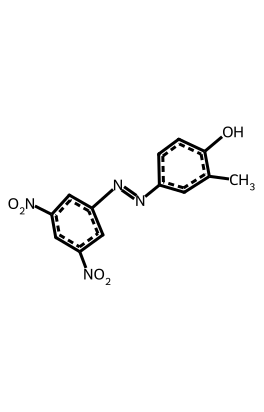 Cc1cc(N=Nc2cc([N+](=O)[O-])cc([N+](=O)[O-])c2)ccc1O